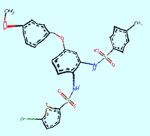 COc1ccc(Oc2ccc(NS(=O)(=O)c3ccc(Br)s3)c(NS(=O)(=O)c3ccc(C)cc3)c2)cc1